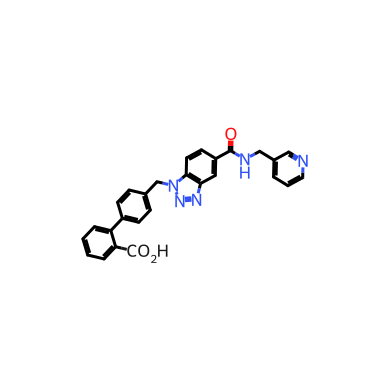 O=C(NCc1cccnc1)c1ccc2c(c1)nnn2Cc1ccc(-c2ccccc2C(=O)O)cc1